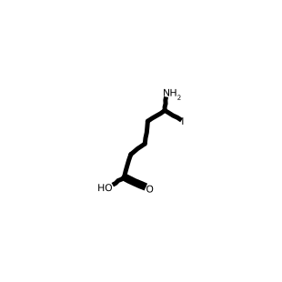 NC(I)CCCC(=O)O